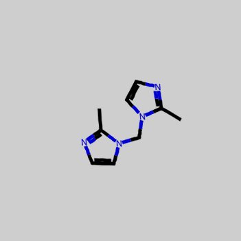 Cc1nccn1Cn1ccnc1C